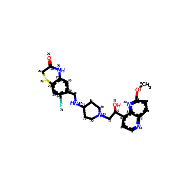 COc1ccc2nccc(C(O)CN3CCC(NCc4cc5c(cc4F)SCC(=O)N5)CC3)c2n1